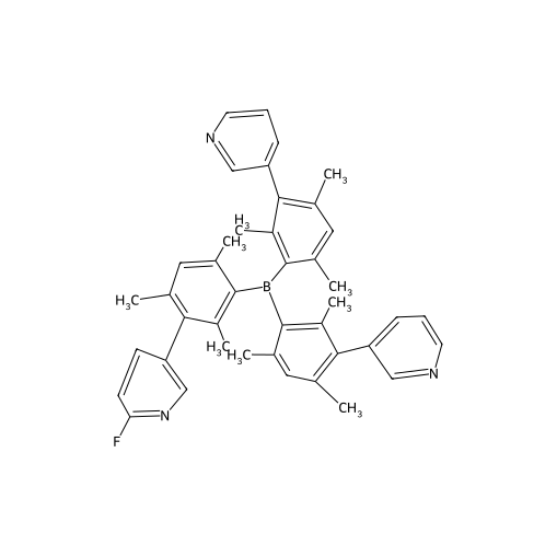 Cc1cc(C)c(-c2cccnc2)c(C)c1B(c1c(C)cc(C)c(-c2cccnc2)c1C)c1c(C)cc(C)c(-c2ccc(F)nc2)c1C